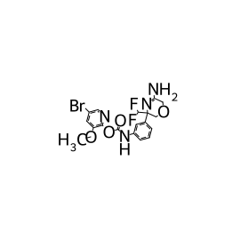 COc1cc(Br)cnc1OC(=O)Nc1cccc(C2(C(F)F)COCC(N)=N2)c1